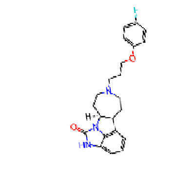 O=c1[nH]c2cccc3c2n1[C@H]1CCN(CCCOc2ccc(F)cc2)CCC31